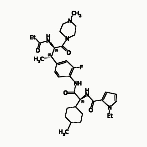 CCC(=O)N[C@@H](C(=O)N1CCN(C)CC1)[C@@H](C)c1ccc(NC(=O)[C@@H](NC(=O)c2cccn2CC)C2CCC(C)CC2)c(F)c1